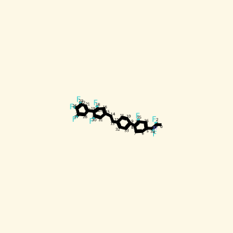 C/C(F)=C(\F)c1ccc(-c2ccc(CCc3cc(F)c(-c4cc(F)c(F)c(F)c4)c(F)c3)cc2)c(F)c1